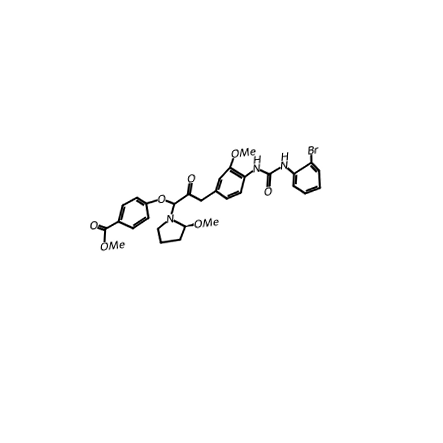 COC(=O)c1ccc(OC(C(=O)Cc2ccc(NC(=O)Nc3ccccc3Br)c(OC)c2)N2CCC[C@@H]2OC)cc1